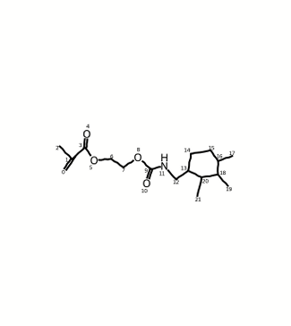 C=C(C)C(=O)OCCOC(=O)NCC1CCC(C)C(C)C1C